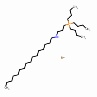 CCCCCCCCCCCCCCCCNCCC[P+](CCCC)(CCCC)CCCC.[Br-]